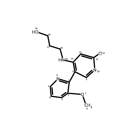 COc1cccnc1-c1cnc(Cl)cc1NCCCO